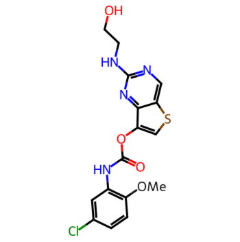 COc1ccc(Cl)cc1NC(=O)Oc1csc2cnc(NCCO)nc12